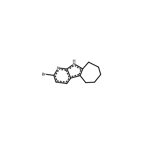 Brc1ccc2c3c([nH]c2n1)CCCCC3